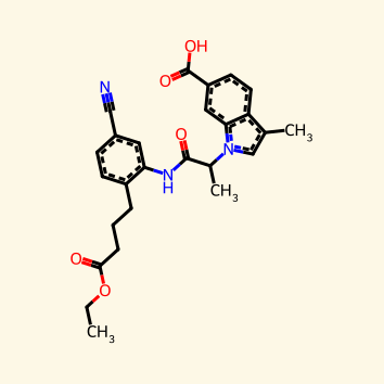 CCOC(=O)CCCc1ccc(C#N)cc1NC(=O)C(C)n1cc(C)c2ccc(C(=O)O)cc21